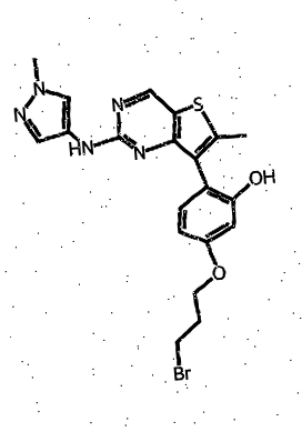 Cc1sc2cnc(Nc3cnn(C)c3)nc2c1-c1ccc(OCCCBr)cc1O